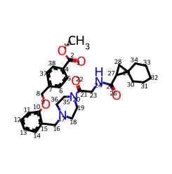 COC(=O)c1ccc(COc2ccccc2CN2CCN(C(=O)CNC(=O)C3CC34CCCCC4)CC2)cc1